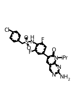 CC(C)n1c(=O)c(-c2cc(F)c(NS(=O)(=O)Cc3ccc(Cl)cc3)c(F)c2)cc2cnc(N)nc21